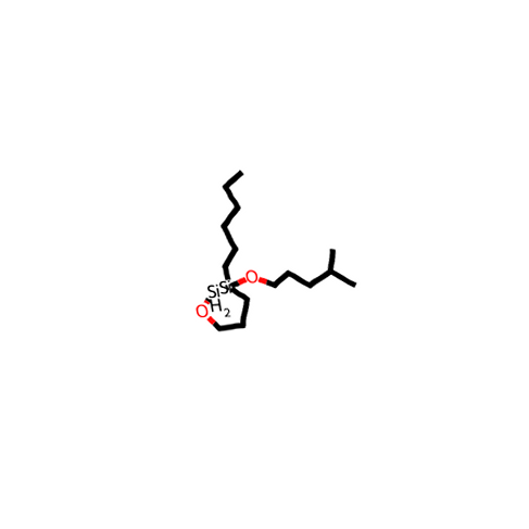 CCCCCC[Si]1(OCCCC(C)C)CCCO[SiH2]1